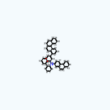 c1ccc(-c2ccccc2N(c2cccc(-c3cccc4c3ccc3ccc5ccccc5c34)c2)c2ccc3c(ccc4ccccc43)c2)cc1